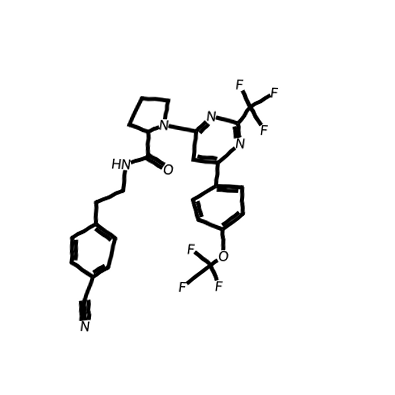 N#Cc1ccc(CCNC(=O)C2CCCN2c2cc(-c3ccc(OC(F)(F)F)cc3)nc(C(F)(F)F)n2)cc1